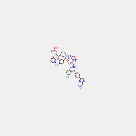 C[C@H](NCc1ccc(Cl)cc1Oc1ccc(-c2cnc(CN(C)C)n2C)cc1)C(=O)N1[C@H](C(=O)N[C@@]2(Cc3ccc(Cl)cc3)CCCC(C(=O)[C@@H](CC(=O)O)Cc3cccnc3)C2)COC1(C)C